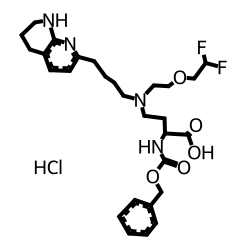 Cl.O=C(NC(CCN(CCCCc1ccc2c(n1)NCCC2)CCOCC(F)F)C(=O)O)OCc1ccccc1